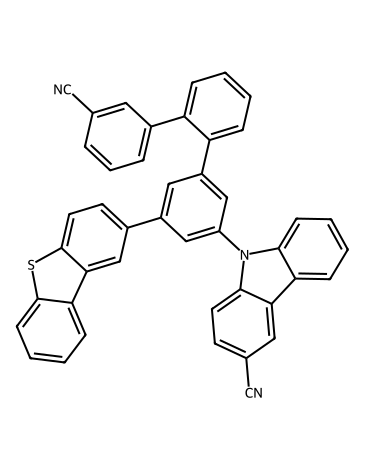 N#Cc1cccc(-c2ccccc2-c2cc(-c3ccc4sc5ccccc5c4c3)cc(-n3c4ccccc4c4cc(C#N)ccc43)c2)c1